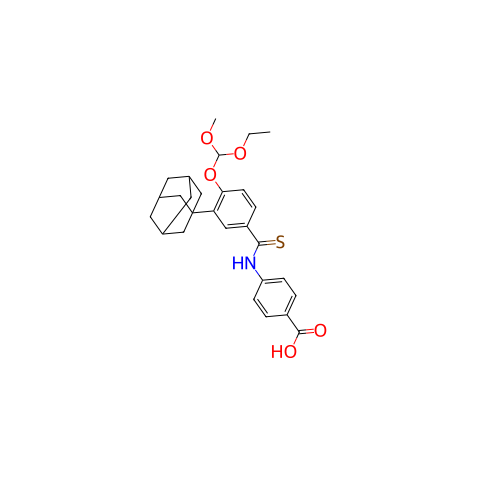 CCOC(OC)Oc1ccc(C(=S)Nc2ccc(C(=O)O)cc2)cc1C12CC3CC(CC(C3)C1)C2